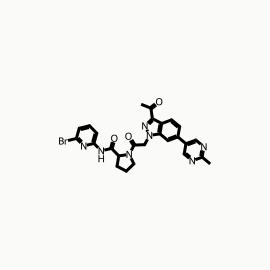 CC(=O)c1nn(CC(=O)N2CCCC2C(=O)Nc2cccc(Br)n2)c2cc(-c3cnc(C)nc3)ccc12